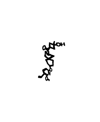 CCc1ccc(OC2CCC3(CC2)CN(C(=O)C2CC(C)(O)C2)C3)nc1OC